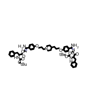 CC(C)(C)OC(=O)NC(Cc1ccccc1)C(=O)O/N=C(\N)c1ccc(OCCCN2CCC(CCCOc3ccc(/C(N)=N\OC(=O)C(Cc4ccccc4)NC(=O)OC(C)(C)C)cc3)CC2)cc1